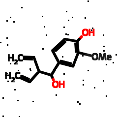 C=CC(C=C)C(O)c1ccc(O)c(OC)c1